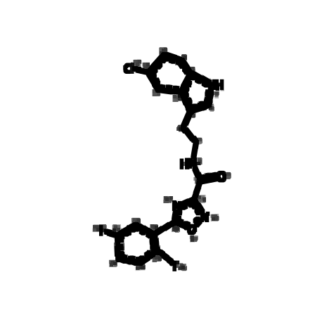 O=C(NCCc1c[nH]c2ccc(Cl)cc12)c1noc(-c2cc(F)ccc2F)n1